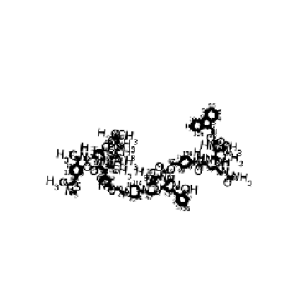 Cc1ncsc1-c1ccc([C@H](C)NC(=O)[C@@H]2C[C@@H](OP(=O)(OC(C)(C)C)OC(C)(C)C)CN2C(=O)[C@@H](c2cc(OCCN3CCC(N4CCN5c6cc(-c7ccccc7O)nnc6N(C(=O)OCc6ccc(NC(=O)[C@H](CCCNC(N)=O)NC(=O)[C@@H](NC(=O)OCC7c8ccccc8-c8ccccc87)C(C)C)cc6)[C@@H](C)[C@@H]5C4)CC3)no2)C(C)C)cc1